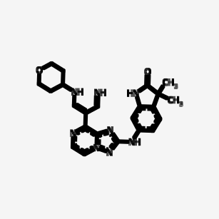 CC1(C)C(=O)Nc2cc(Nc3nc4c(/C(C=N)=C/NC5CCOCC5)nccn4n3)ccc21